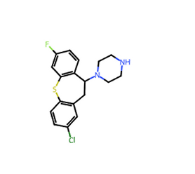 Fc1ccc2c(c1)Sc1ccc(Cl)cc1CC2N1CCNCC1